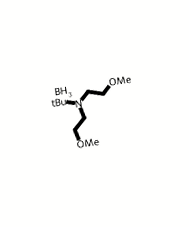 B.COCCN(CCOC)C(C)(C)C